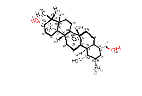 C[C@@H]1[C@@H]2C(CC[C@]3(C)C2CC[C@@H]2[C@@]4(C)CC[C@H](O)C(C)(C)[C@@H]4CC[C@]23C)[C@H](CO)C[C@H]1C